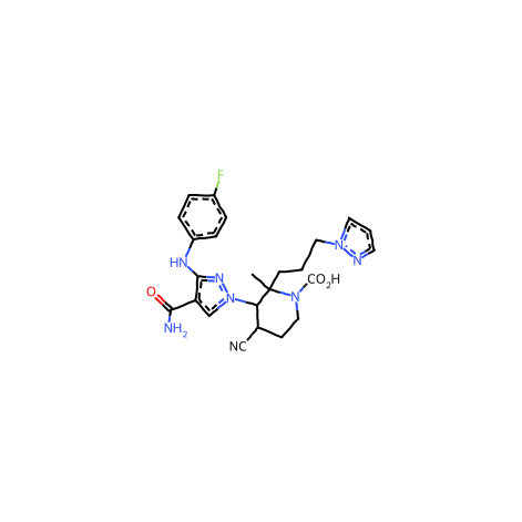 CC1(CCCn2cccn2)C(n2cc(C(N)=O)c(Nc3ccc(F)cc3)n2)C(C#N)CCN1C(=O)O